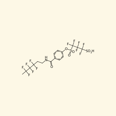 CC(F)(F)C(F)(F)C(F)(F)CCNC(=O)c1ccc(OS(=O)(=O)C(F)(F)C(F)(F)C(F)(F)S(=O)(=O)O)cc1